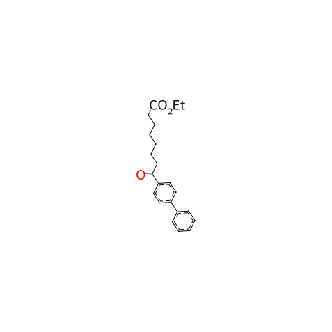 CCOC(=O)CCCCCCC(=O)c1ccc(-c2ccccc2)cc1